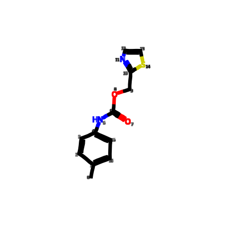 Cc1ccc(NC(=O)OCc2nccs2)cc1